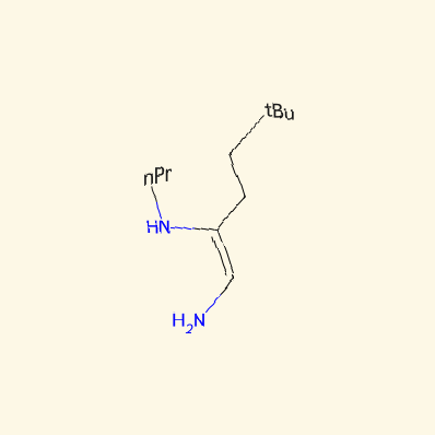 CCCN/C(=C\N)CCC(C)(C)C